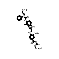 CCCCCCCOC(=O)NC(=N)c1ccc(NCc2nc3c(C)c(OC(=O)N(CCC(=O)OCC)c4ccccc4)ccc3[nH]2)c(OC)c1